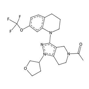 CC(=O)N1CCc2c(c(N3CCCc4ccc(OC(F)(F)F)cc43)nn2C2CCOC2)C1